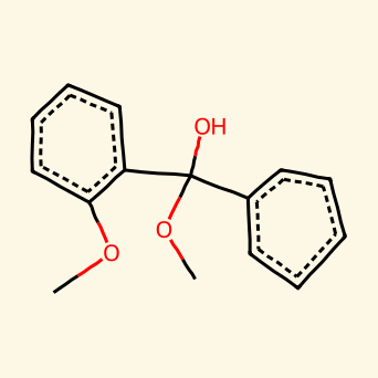 COc1ccccc1C(O)(OC)c1ccccc1